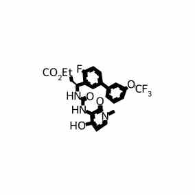 CCOC(=O)C[C@H](NC(=O)Nc1c(O)ccn(C)c1=O)c1cc(-c2cccc(OC(F)(F)F)c2)ccc1F